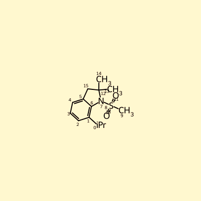 CC(C)c1cccc2c1N(S(C)(=O)=O)C(C)(C)C2